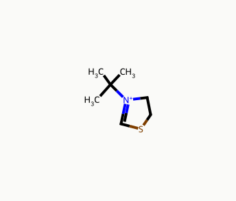 CC(C)(C)[N+]1=CSCC1